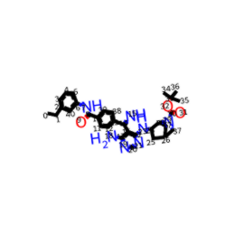 CCc1cccc(NC(=O)c2ccc(C(=N)c3c(N)ncnc3NC3CC4CC3N(C(=O)OC(C)(C)C)C4)cc2)c1